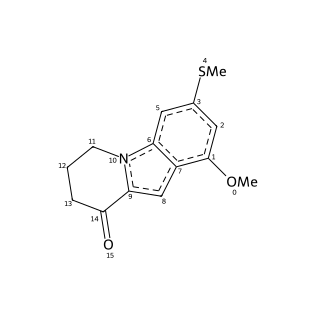 COc1cc(SC)cc2c1cc1n2CCCC1=O